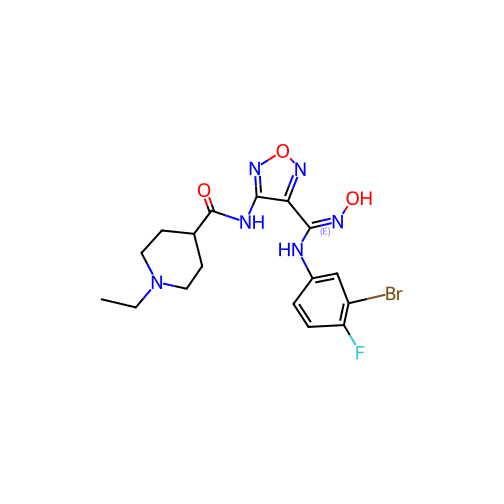 CCN1CCC(C(=O)Nc2nonc2/C(=N\O)Nc2ccc(F)c(Br)c2)CC1